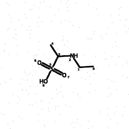 CCNC(C)S(=O)(=O)O